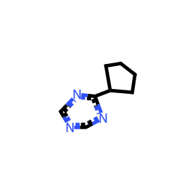 c1ncnc(C2CCCC2)n1